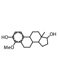 COc1c(O)ccc2c1CCC1C2CCC2(C)C(O)CCC12